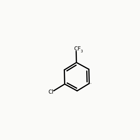 FC(F)(F)c1c[c]cc(Cl)c1